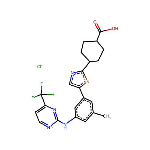 Cc1cc(NC2=NC(C(F)(F)F)=CC=[N+]2)cc(-c2cnc(C3CCC(C(=O)O)CC3)s2)c1.[Cl-]